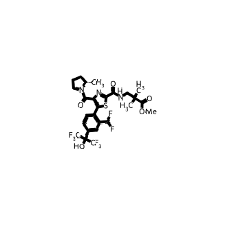 COC(=O)C(C)(C)CNC(=O)c1nc(C(=O)N2CCC[C@@H]2C)c(-c2ccc(C(O)(C(F)(F)F)C(F)(F)F)cc2C(F)F)s1